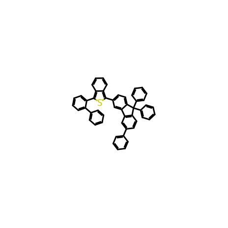 c1ccc(-c2ccc3c(c2)-c2cc(-c4sc(-c5ccccc5-c5ccccc5)c5ccccc45)ccc2C3(c2ccccc2)c2ccccc2)cc1